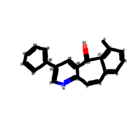 Cc1cccc2ccc3ncc(-c4ccccc4)cc3c(=O)c12